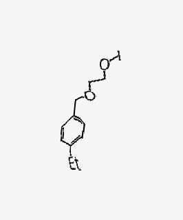 CCc1ccc(COCCOI)cc1